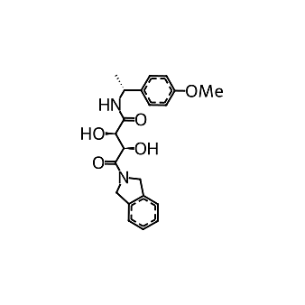 COc1ccc([C@@H](C)NC(=O)[C@H](O)[C@@H](O)C(=O)N2Cc3ccccc3C2)cc1